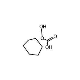 C1CCCCC1.O=C(O)OO